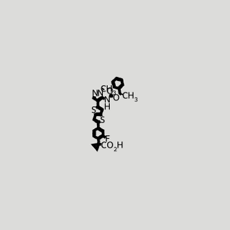 C[C@@H](OC(=O)Nc1c(-c2cc3sc(-c4ccc(C5(C(=O)O)CC5)c(F)c4)cc3s2)cnn1C)c1ccccc1